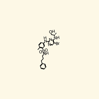 Cc1ccc(Nc2ncc(Br)c(N[C@H](C)CO)n2)cc1S(=O)(=O)NCCCc1ccccc1